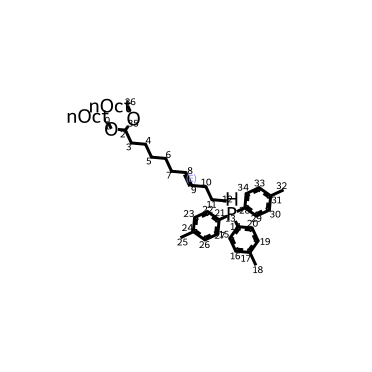 CCCCCCCCOC(CCCCC/C=C/CCC[PH](c1ccc(C)cc1)(c1ccc(C)cc1)c1ccc(C)cc1)OCCCCCCCC